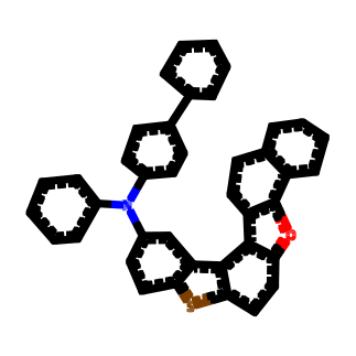 c1ccc(-c2ccc(N(c3ccccc3)c3ccc4sc5ccc6oc7c8ccccc8ccc7c6c5c4c3)cc2)cc1